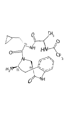 CC(NC(=O)C(F)(F)F)C(=O)N[C@@H](CC1CC1)C(=O)N1C[C@]2(C[C@H]1N)C(=O)Nc1ccccc12